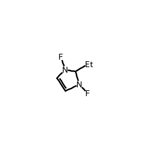 CCC1N(F)C=CN1F